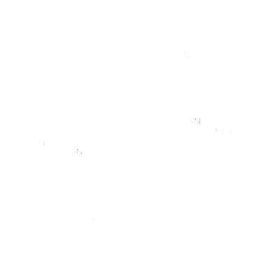 CCCCCCCCn1c2ccc(C)cc2c2cc(-c3ccc4c(c3)c3cc(C)ccc3n4CCCCCCCC)ccc21